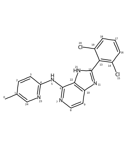 Cc1ccc(Nc2nccc3nc(-c4c(Cl)cccc4Cl)[nH]c23)nc1